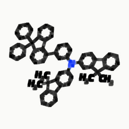 CC1(C)c2ccccc2-c2ccc(N(c3cccc(-c4cccc5c4-c4ccccc4C5(c4ccccc4)c4ccccc4)c3)c3ccc4c(c3)C(C)(C)c3ccccc3-4)cc21